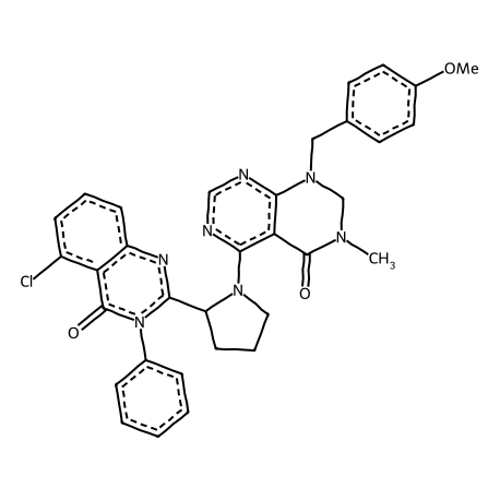 COc1ccc(CN2CN(C)C(=O)c3c2ncnc3N2CCCC2c2nc3cccc(Cl)c3c(=O)n2-c2ccccc2)cc1